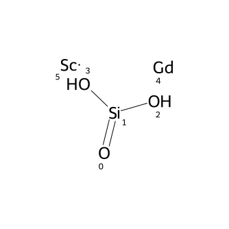 O=[Si](O)O.[Gd].[Sc]